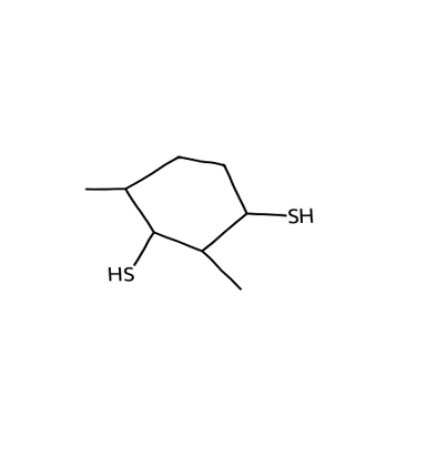 CC1CCC(S)C(C)C1S